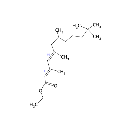 CCOC(=O)/C=C(C)/C=C(\C)CC(C)CCCC(C)(C)C